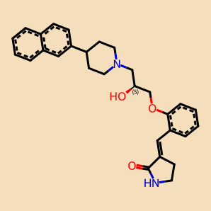 O=C1NCCC1=Cc1ccccc1OC[C@@H](O)CN1CCC(c2ccc3ccccc3c2)CC1